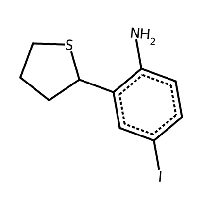 Nc1ccc(I)cc1C1CCCS1